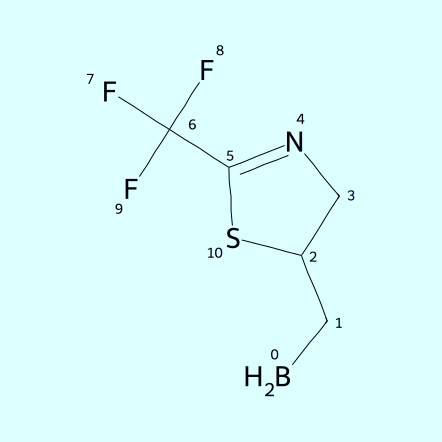 BCC1CN=C(C(F)(F)F)S1